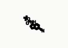 CC(C)(C)OC(=O)N[C@@H]1CCc2cc(C#N)ccc21